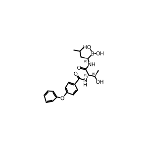 CC(C)C[C@H](NC(=O)[C@@H](NC(=O)c1ccc(Oc2ccccc2)cc1)[C@@H](C)O)B(O)O